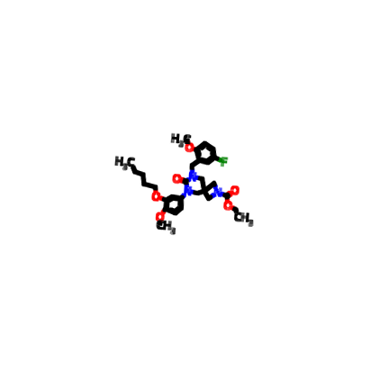 CCCCCOc1cc(N2CC3(CN(C(=O)OCC)C3)CN(Cc3cc(F)ccc3OC)C2=O)ccc1OC